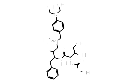 CCC(C)[C@H](NC(=O)OC)C(=O)NC(Cc1ccccc1)C(O)CN(N)Cc1ccc(N(CC)CC)cc1